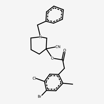 Cc1cc(Br)c(Cl)cc1CC(=O)OC1(C#N)CCCN(Cc2ccccc2)C1